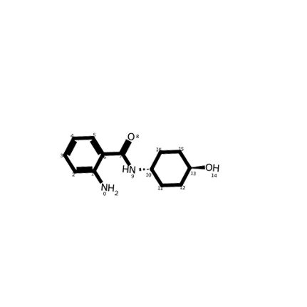 Nc1ccccc1C(=O)N[C@H]1CC[C@H](O)CC1